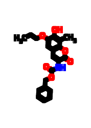 CCCOc1cc2cc(NC(=O)OCc3ccccc3)c(=O)oc2c(C)c1O